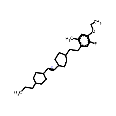 CCCC1CCC(/C=C/C2CCC(CCc3cc(F)c(OCC)cc3C)CC2)CC1